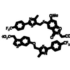 COc1cc2on(CC(=O)O)c(=O)c2cc1SCc1sc(-c2ccc(C(F)(F)F)cc2)nc1C.Cc1nc(-c2ccc(C(F)(F)F)cc2)sc1COc1ccc2c(CC(=O)O)csc2c1